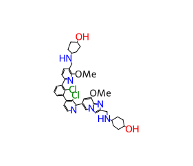 COc1nc(-c2cccc(-c3ccnc(-c4cc(OC)c5nc(CNC6CCC(O)CC6)cn5c4)c3Cl)c2Cl)ccc1CNC1CCC(O)CC1